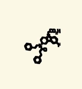 O=C(O)Cn1c2c(c3cc(F)ccc31)C[C@@H](N(CCc1ccccc1)C(=O)CCc1ccccc1)CC2